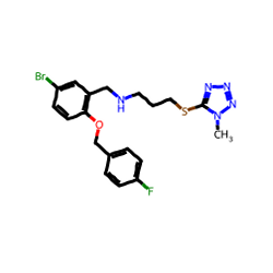 Cn1nnnc1SCCCNCc1cc(Br)ccc1OCc1ccc(F)cc1